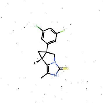 Cc1[nH]c(=S)n2c1[C@@H]1C[C@]1(c1cc(F)cc(Cl)c1)C2